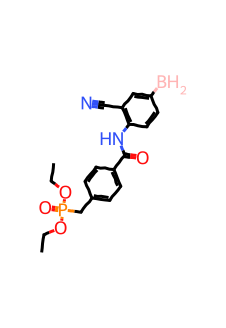 Bc1ccc(NC(=O)c2ccc(CP(=O)(OCC)OCC)cc2)c(C#N)c1